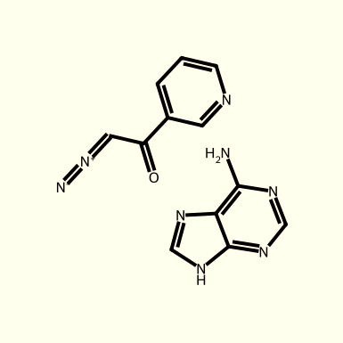 Nc1ncnc2[nH]cnc12.[N-]=[N+]=CC(=O)c1cccnc1